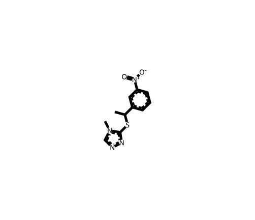 CC(Sc1nncn1C)c1cccc([N+](=O)[O-])c1